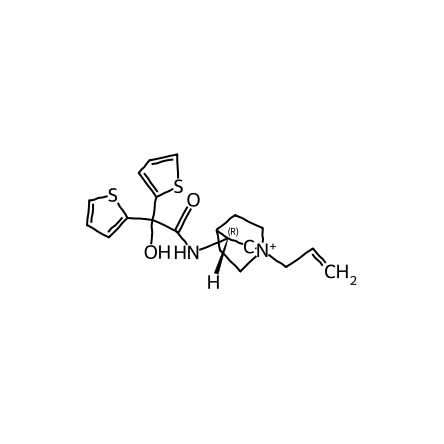 C=CC[N+]12CCC(CC1)[C@@H](NC(=O)C(O)(c1cccs1)c1cccs1)C2